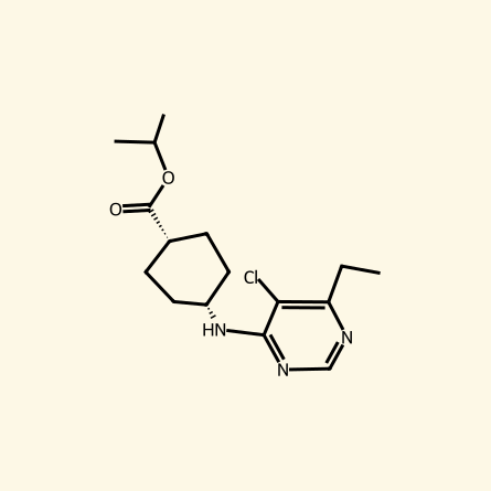 CCc1ncnc(N[C@H]2CC[C@@H](C(=O)OC(C)C)CC2)c1Cl